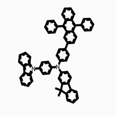 CC1(C)c2ccccc2-c2ccc(N(c3ccc(-c4ccc5c(-c6ccccc6)c6ccccc6c(-c6ccccc6)c5c4)cc3)c3ccc(-n4c5ccccc5c5ccccc54)cc3)cc21